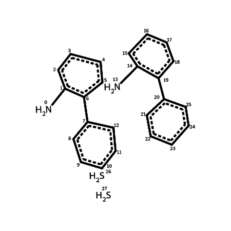 Nc1ccccc1-c1ccccc1.Nc1ccccc1-c1ccccc1.S.S